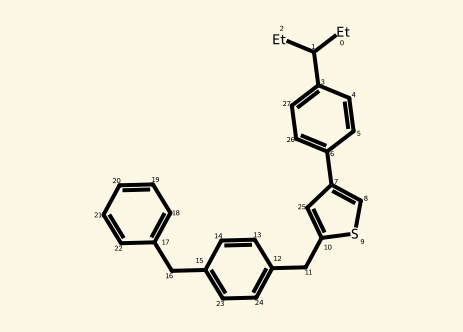 CCC(CC)c1ccc(-c2csc(Cc3ccc(Cc4ccccc4)cc3)c2)cc1